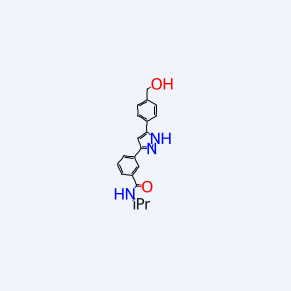 CC(C)NC(=O)c1cccc(-c2cc(-c3ccc(CO)cc3)[nH]n2)c1